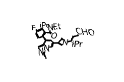 CCN(C(=O)c1cc(F)ccc1-c1cc(C2CN([C@H](CCC=O)C(C)C)C2)cn2c(C)ncc12)C(C)C